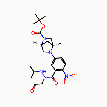 CC(C)NN(CC=O)C(=O)c1cc(N2C[C@@H]3C[C@H]2CN3C(=O)OC(C)(C)C)ccc1[N+](=O)[O-]